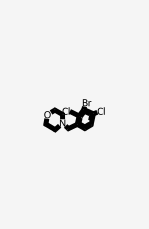 Clc1ccc(CN2CCOCC2)c(Cl)c1Br